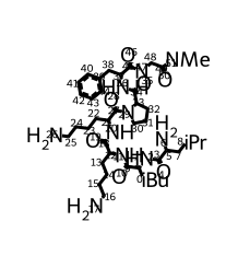 CCC(C)C(NC(=O)C(N)CC(C)C)C(=O)NC(CCCCN)C(=O)NC(CCCCN)C(=O)N1CCCC1C(=O)NC(Cc1ccccc1)C(=O)NCC(=O)NC